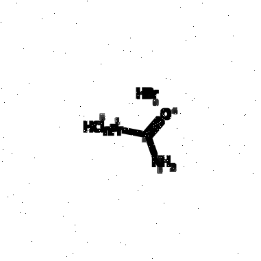 Br.CCCC(N)=O.Cl